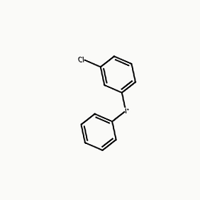 Clc1cccc([I+]c2ccccc2)c1